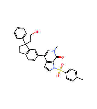 Cc1ccc(S(=O)(=O)n2ccc3c(-c4ccc5c(c4)C(CCO)(c4ccccc4)CC5)cn(C)c(=O)c32)cc1